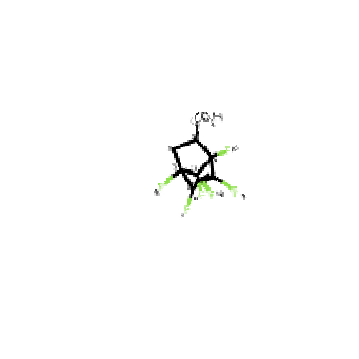 O=C(O)C1CC2(F)C(F)=C(F)C1(F)C2(F)F